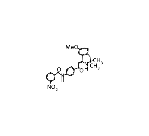 COc1ccc2c(c1)/C(=C/C(=O)c1ccc(NC(=O)c3cccc([N+](=O)[O-])c3)cc1)NC(C)(C)C2